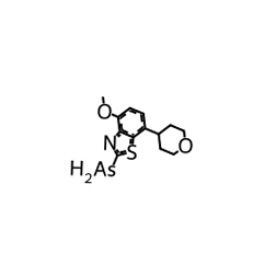 COc1ccc(C2CCOCC2)c2sc([AsH2])nc12